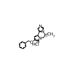 C[C@H]1Cn2nc(OCc3ccccc3)cc2-c2cncn21.Cl